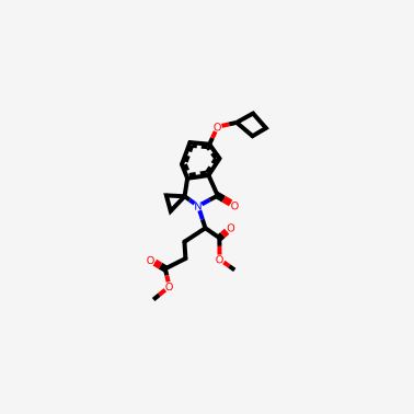 COC(=O)CCC(C(=O)OC)N1C(=O)c2cc(OC3CCC3)ccc2C12CC2